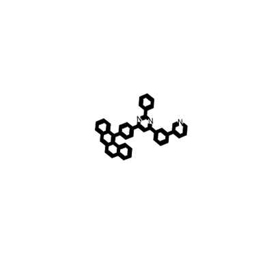 c1ccc(-c2nc(-c3ccc(-c4c5ccccc5cc5ccc6ccccc6c45)cc3)cc(-c3cccc(-c4cccnc4)c3)n2)cc1